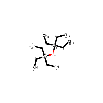 C[CH2][Ge]([CH2]C)([CH2]C)[O][Ge]([CH2]C)([CH2]C)[CH2]C